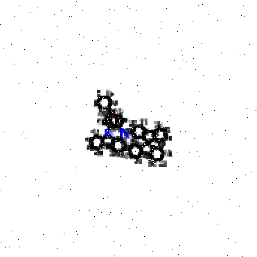 c1ccc(-c2ccc(N(c3ccc4c(c3)C3(c5ccccc5-c5ccccc53)c3ccccc3-4)c3cccc4c5ccccc5n(-c5ccccc5)c34)cc2)cc1